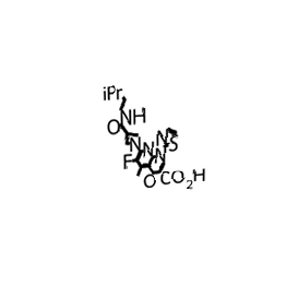 Cc1c(F)c(N2CC(C(=O)NCCC(C)C)C2)nc2c1c(=O)c(C(=O)O)cn2-c1nccs1